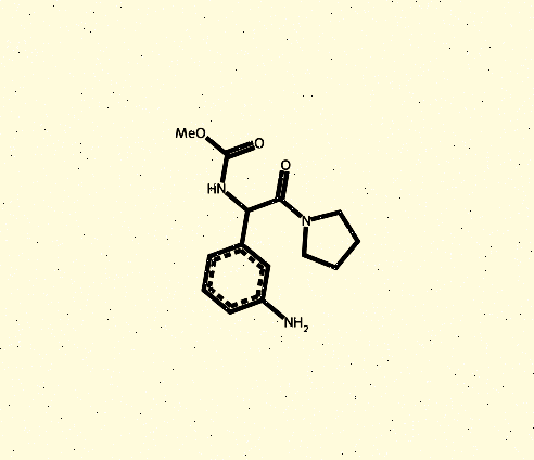 COC(=O)NC(C(=O)N1CCCC1)c1cccc(N)c1